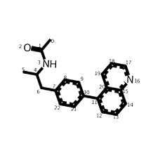 CC(=O)NC(C)Cc1ccc(-c2cccc3ncccc23)cc1